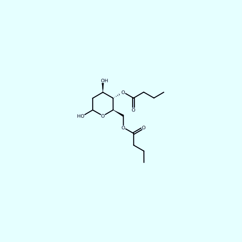 CCCC(=O)OC[C@H]1OC(O)C[C@@H](O)[C@@H]1OC(=O)CCC